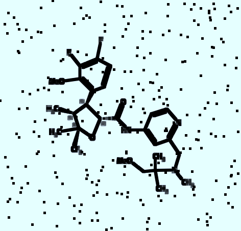 COCC(C)(C)N(C)Cc1cc(NC(=O)[C@@H]2O[C@@](C)(C(F)(F)F)[C@@H](C)[C@H]2c2ccc(F)c(F)c2OC)ccn1